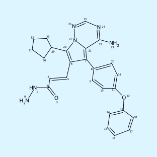 NNC(=O)C=Cc1c(-c2ccc(Oc3ccccc3)cc2)c2c(N)ncnn2c1C1CCCC1